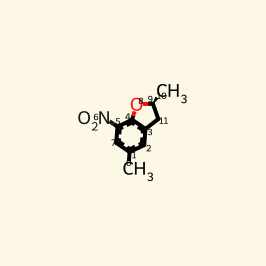 Cc1cc2c(c([N+](=O)[O-])c1)O[C@@H](C)C2